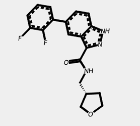 O=C(NC[C@@H]1CCOC1)c1n[nH]c2ccc(-c3cccc(F)c3F)cc12